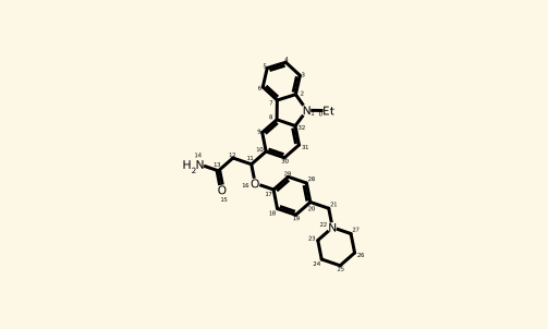 CCn1c2ccccc2c2cc(C(CC(N)=O)Oc3ccc(CN4CCCCC4)cc3)ccc21